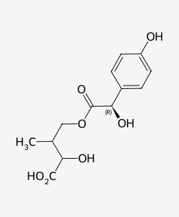 CC(COC(=O)[C@H](O)c1ccc(O)cc1)C(O)C(=O)O